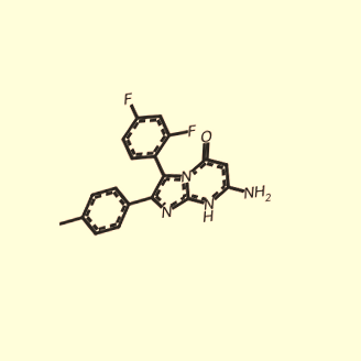 Cc1ccc(-c2nc3[nH]c(N)cc(=O)n3c2-c2ccc(F)cc2F)cc1